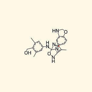 CC1=C2NOC(Nc3cc(C)c(CO)c(C)c3)(N=C1)N2c1ccc2c(c1)NCO2